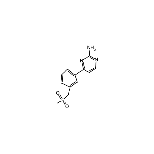 CS(=O)(=O)Cc1cccc(-c2ccnc(N)n2)c1